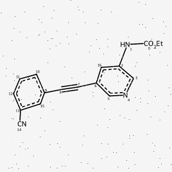 CCOC(=O)Nc1cncc(C#Cc2cccc(C#N)c2)c1